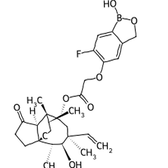 C=C[C@]1(C)C[C@@H](OC(=O)COc2cc3c(cc2F)B(O)OC3)[C@]2(C)[C@H](C)CC[C@]3(CCC(=O)[C@H]32)[C@@H](C)[C@@H]1O